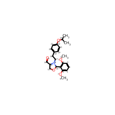 COc1cccc(OC)c1C1OCC(C=O)N1CCc1ccc(OC(C)C)cc1